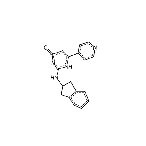 O=c1cc(-c2ccncc2)[nH]c(NC2Cc3ccccc3C2)n1